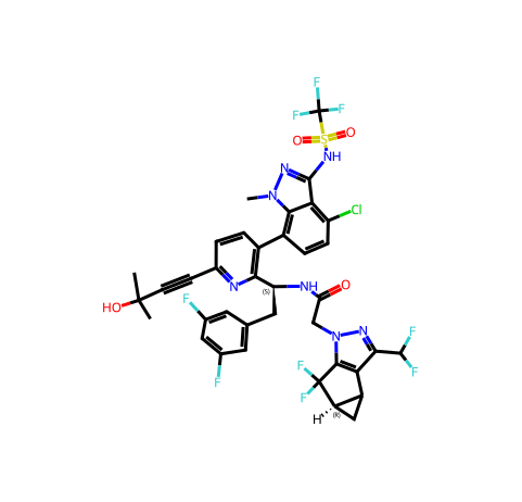 Cn1nc(NS(=O)(=O)C(F)(F)F)c2c(Cl)ccc(-c3ccc(C#CC(C)(C)O)nc3[C@H](Cc3cc(F)cc(F)c3)NC(=O)Cn3nc(C(F)F)c4c3C(F)(F)[C@@H]3CC43)c21